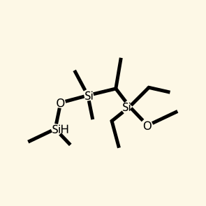 CC[Si](CC)(OC)C(C)[Si](C)(C)O[SiH](C)C